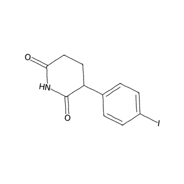 O=C1CCC(c2ccc(I)cc2)C(=O)N1